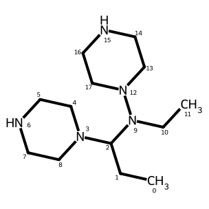 CCC(N1CCNCC1)N(CC)N1CCNCC1